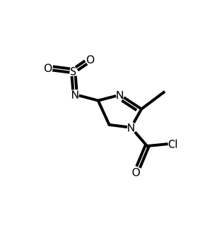 CC1=NC(N=S(=O)=O)CN1C(=O)Cl